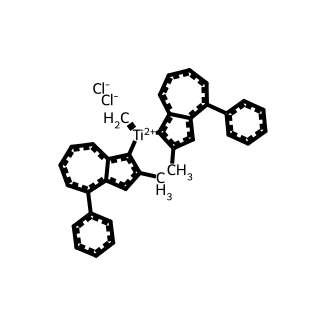 [CH2]=[Ti+2]([c]1c(C)cc2c(-c3ccccc3)ccccc1-2)[c]1c(C)cc2c(-c3ccccc3)ccccc1-2.[Cl-].[Cl-]